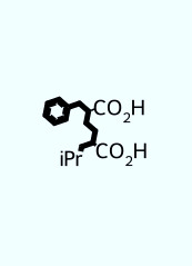 CC(C)C[C@@H](CC[C@H](Cc1ccccc1)C(=O)O)C(=O)O